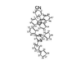 N#Cc1ccc2c(c1)-c1ccc(-c3cccc(-c4cc(-c5cccc(-c6ccccc6)c5)nc(-c5ccccc5)n4)c3)cc1C2(c1ccccc1)c1ccccc1